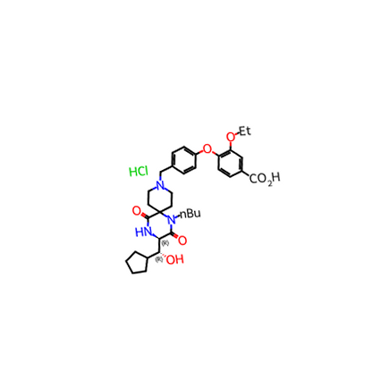 CCCCN1C(=O)[C@@H]([C@H](O)C2CCCC2)NC(=O)C12CCN(Cc1ccc(Oc3ccc(C(=O)O)cc3OCC)cc1)CC2.Cl